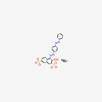 O=S(=O)([O-])c1ccc2c(N=Nc3ccc(N=Nc4ccccc4)cc3)c(O)c(S(=O)(=O)[O-])cc2c1.[Na+].[Na+]